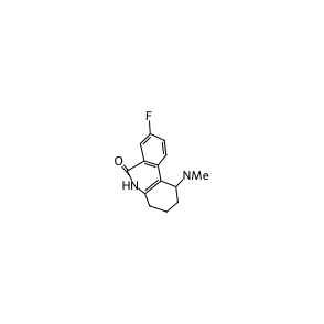 CNC1CCCc2[nH]c(=O)c3cc(F)ccc3c21